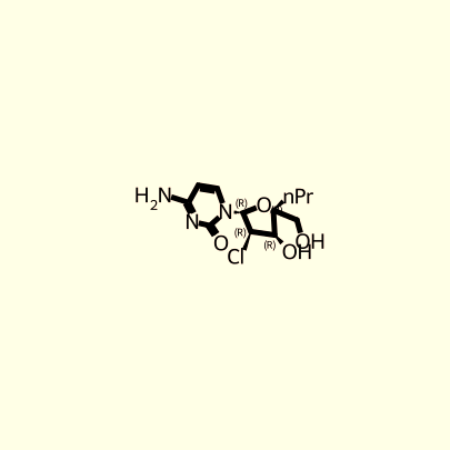 CCC[C@]1(CO)O[C@@H](n2ccc(N)nc2=O)[C@H](Cl)[C@@H]1O